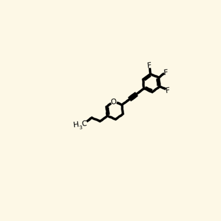 CCCC1=COC(C#Cc2cc(F)c(F)c(F)c2)CC1